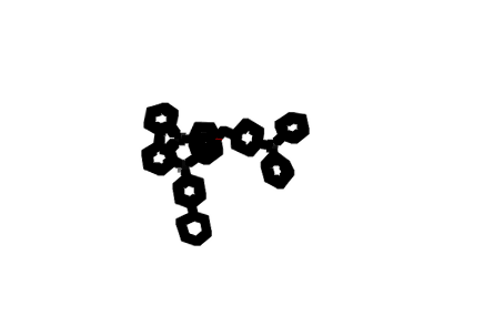 c1ccc(N(c2ccccc2)c2ccc(Cc3ccc(N(c4ccc(C5CCCCC5)cc4)c4cccc5c6ccccc6n(-c6ccccc6)c45)cc3)cc2)cc1